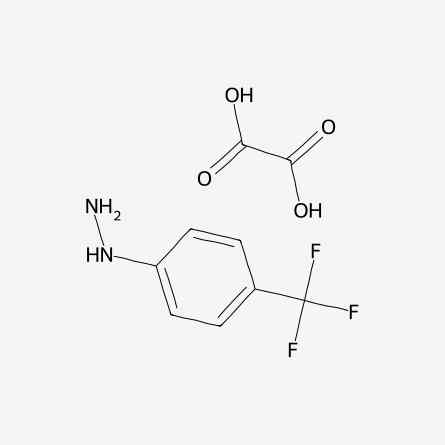 NNc1ccc(C(F)(F)F)cc1.O=C(O)C(=O)O